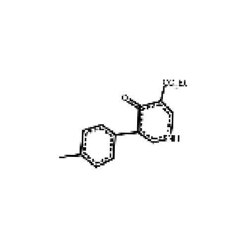 CCOC(=O)c1c[nH]cc(-c2ccc(C)cc2)c1=O